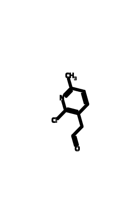 Cc1ccc(CC=O)c(Cl)n1